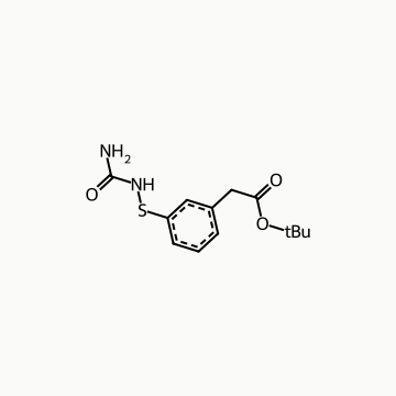 CC(C)(C)OC(=O)Cc1cccc(SNC(N)=O)c1